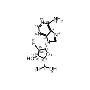 [2H]C(O)[C@H]1O[C@@H](n2cnc3c(N)ncnc32)[C@H](F)[C@@H]1O